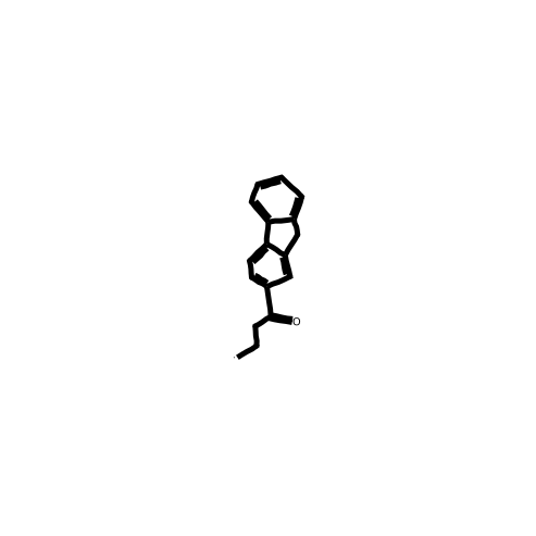 [CH2]CCC(=O)c1ccc2c(c1)Cc1ccccc1-2